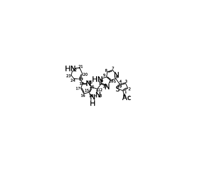 CC(=O)c1ccc(-c2nccc3[nH]c(-c4n[nH]c5ccc(C6=CCNCC6)nc45)nc23)s1